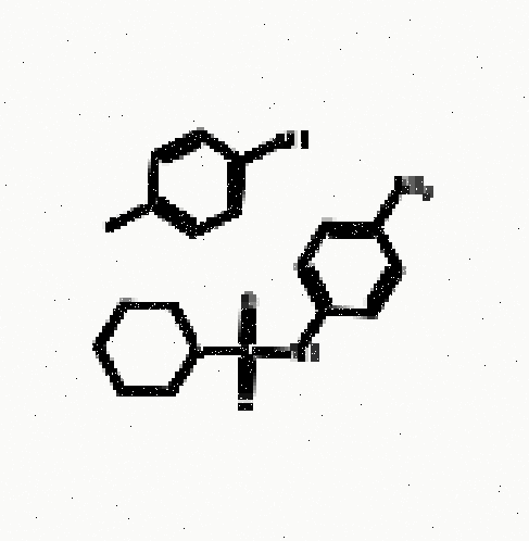 Cc1ccc(O)cc1.Nc1ccc(NS(=O)(=O)N2CCCCC2)cc1